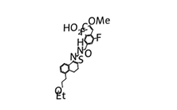 CCOCCCc1cccc2c1CCc1sc(NC(=O)c3cc(F)c(/C=C(/OC)C(=O)O)c(F)c3)nc1-2